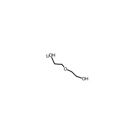 OCCOCCO.[Li]